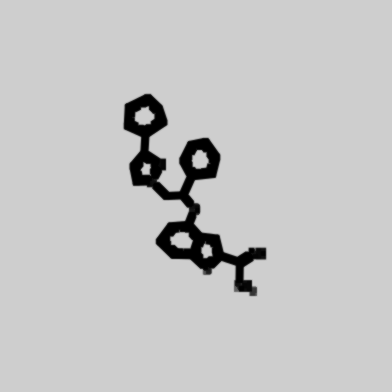 N=C(N)c1cc2c(OC(Cn3ccc(-c4ccccc4)n3)c3ccccc3)cccc2s1